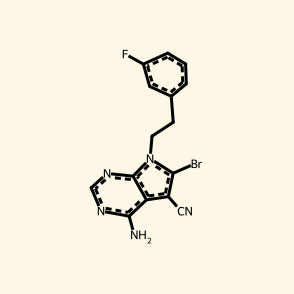 N#Cc1c(Br)n(CCc2cccc(F)c2)c2ncnc(N)c12